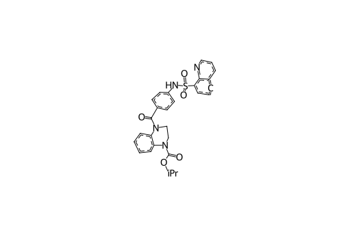 CC(C)OC(=O)N1CCN(C(=O)c2ccc(NS(=O)(=O)c3cccc4cccnc34)cc2)c2ccccc21